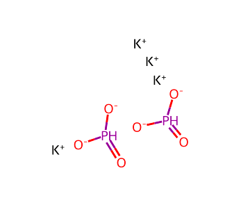 O=[PH]([O-])[O-].O=[PH]([O-])[O-].[K+].[K+].[K+].[K+]